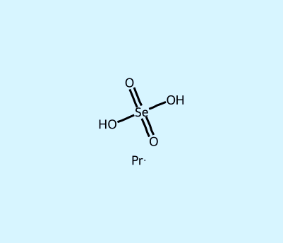 O=[Se](=O)(O)O.[Pr]